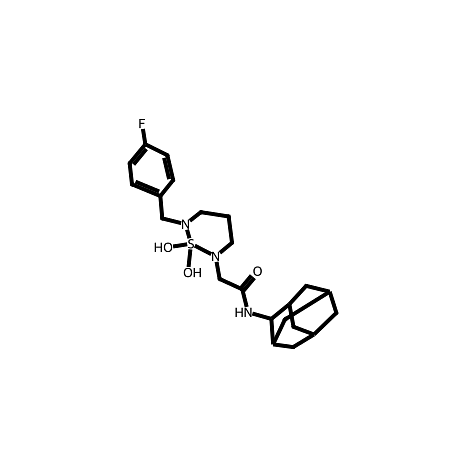 O=C(CN1CCCN(Cc2ccc(F)cc2)S1(O)O)NC1C2CC3CC(C2)CC1C3